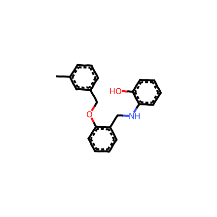 Cc1cccc(COc2ccccc2CNc2ccccc2O)c1